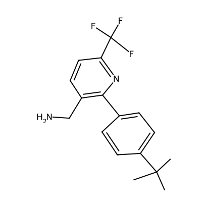 CC(C)(C)c1ccc(-c2nc(C(F)(F)F)ccc2CN)cc1